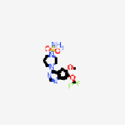 COc1cc2c(N3CCCN(S(N)(=O)=O)CC3)ncnc2cc1OC(F)F